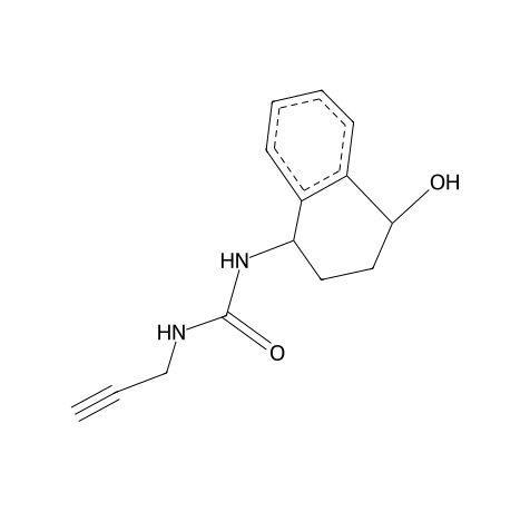 C#CCNC(=O)NC1CCC(O)c2ccccc21